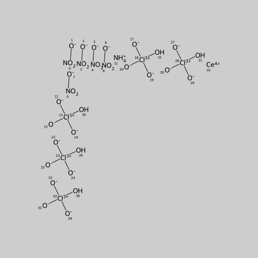 O=[N+]([O-])[O-].O=[N+]([O-])[O-].O=[N+]([O-])[O-].O=[N+]([O-])[O-].O=[N+]([O-])[O-].[Ce+4].[NH4+].[O-][Cl+3]([O-])([O-])O.[O-][Cl+3]([O-])([O-])O.[O-][Cl+3]([O-])([O-])O.[O-][Cl+3]([O-])([O-])O.[O-][Cl+3]([O-])([O-])O